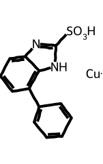 O=S(=O)(O)c1nc2cccc(-c3ccccc3)c2[nH]1.[Cu]